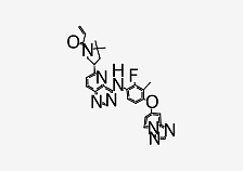 C=CC(=O)N1C[C@H](c2ccc3ncnc(Nc4ccc(Oc5ccn6ncnc6c5)c(C)c4F)c3n2)CC1(C)C